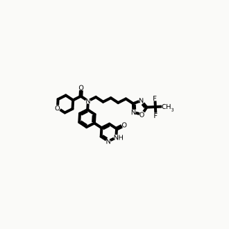 CC(F)(F)c1nc(CCCCCN(C(=O)C2CCOCC2)c2cccc(-c3cn[nH]c(=O)c3)c2)no1